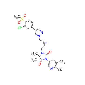 CC1(C)C(=O)N(c2cnc(C#N)c(C(F)(F)F)c2)C(=O)N1C/C=C\Cn1cc(-c2ccc(S(C)(=O)=O)c(Cl)c2)cn1